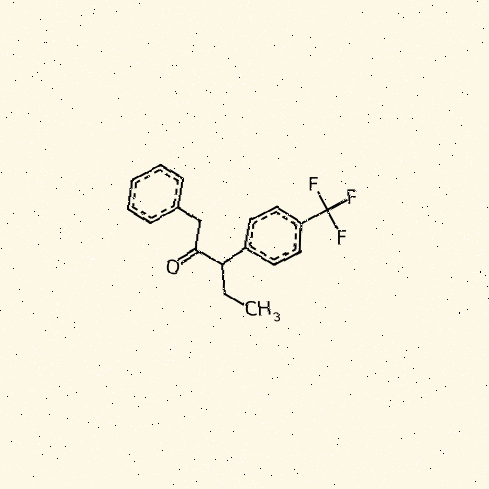 CCC(C(=O)Cc1ccccc1)c1ccc(C(F)(F)F)cc1